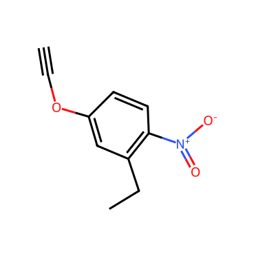 C#COc1ccc([N+](=O)[O-])c(CC)c1